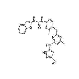 C=Cc1cc(Nc2cc(C)nc(Sc3ccc(NC(=O)Nc4cc5ccccc5s4)cc3C)n2)[nH]n1